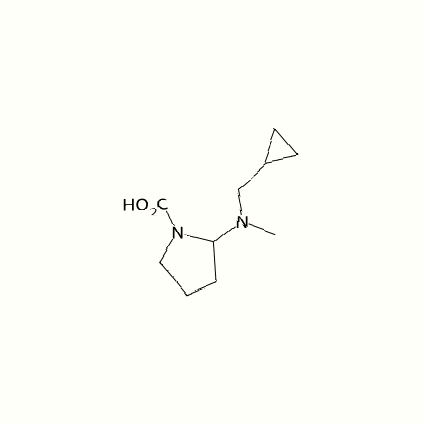 CN(CC1CC1)C1CCCN1C(=O)O